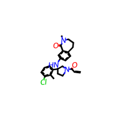 C=CC(=O)N1CC[C@@](Nc2ccc3c(c2)C(=O)N(C)CCC3)(c2cccc(Cl)c2C)C1